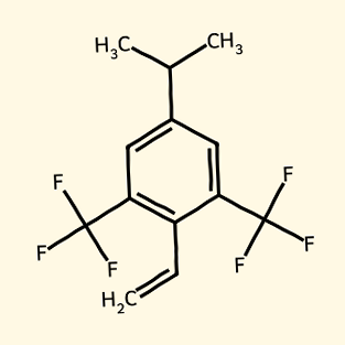 C=Cc1c(C(F)(F)F)cc(C(C)C)cc1C(F)(F)F